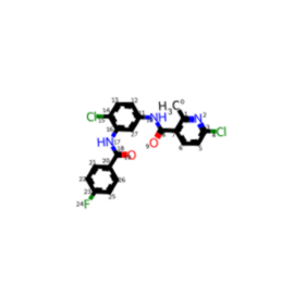 Cc1nc(Cl)ccc1C(=O)Nc1ccc(Cl)c(NC(=O)c2ccc(F)cc2)c1